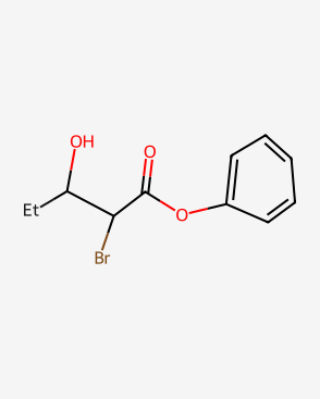 CCC(O)C(Br)C(=O)Oc1ccccc1